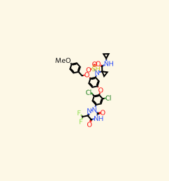 COc1ccc(COc2ccc(Oc3c(Cl)cc(-n4nc(C(F)F)c(=O)[nH]c4=O)cc3Cl)cc2N([SH](=O)=O)C2(C(=O)NC3CC3)CC2)cc1